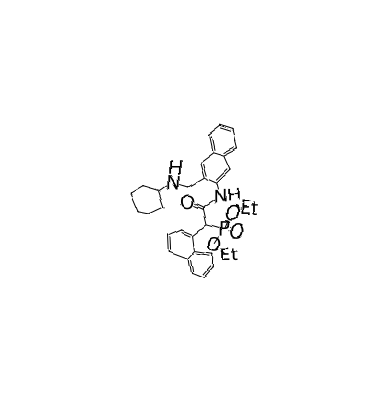 CCOP(=O)(OCC)C(C(=O)Nc1cc2ccccc2cc1CNC1CCCCC1)c1cccc2ccccc12